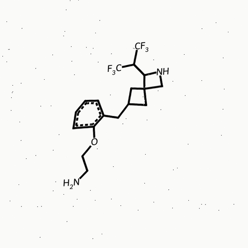 NCCOc1ccccc1CC1CC2(CNC2C(C(F)(F)F)C(F)(F)F)C1